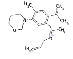 C=CC/N=C(/C)c1cc(N2CCCOC2)c(C)cc1C(=C)C